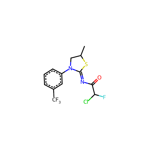 CC1CN(c2cccc(C(F)(F)F)c2)C(=NC(=O)C(F)Cl)S1